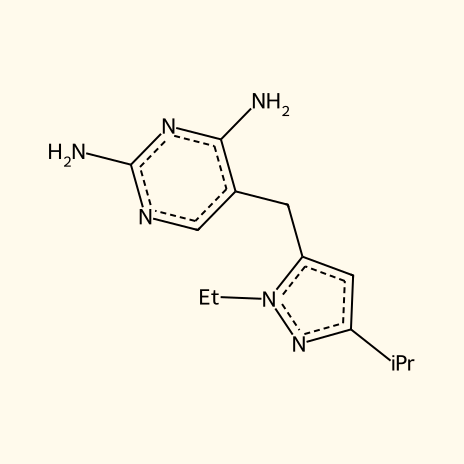 CCn1nc(C(C)C)cc1Cc1cnc(N)nc1N